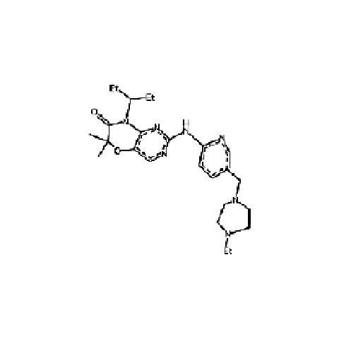 CCC(CC)N1C(=O)C(C)(C)Oc2cnc(Nc3ccc(CN4CCN(CC)CC4)cn3)nc21